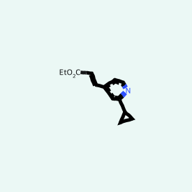 CCOC(=O)/C=C/c1ccnc(C2CC2)c1